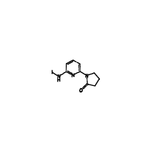 O=C1CCCN1c1cccc(NI)n1